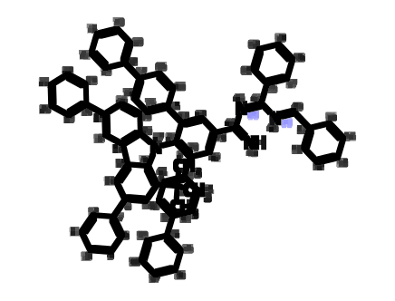 CC(C)(C)c1cc(-c2ccccc2)cc2c3cc(-c4ccccc4)ccc3n(-c3c(-c4ccc(-c5ccccc5)cc4)cc(C(=N)/N=C(\N=C\c4ccccc4)c4ccccc4)cc3-c3ccc(-c4ccccc4)cc3)c12